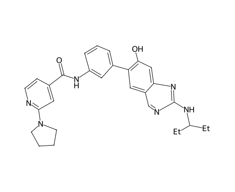 CCC(CC)Nc1ncc2cc(-c3cccc(NC(=O)c4ccnc(N5CCCC5)c4)c3)c(O)cc2n1